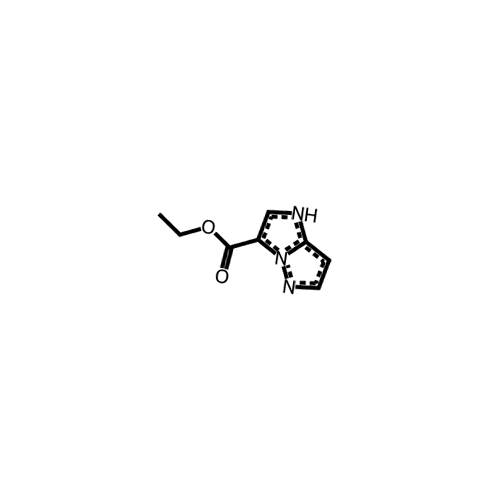 CCOC(=O)c1c[nH]c2ccnn12